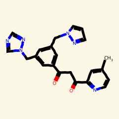 Cc1ccnc(C(=O)CC(=O)c2cc(Cn3cccn3)cc(Cn3cncn3)c2)c1